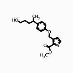 COC(=O)c1sccc1COc1ccc(C(C)CCCO)cc1